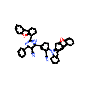 N#Cc1cc(-c2nc(-c3cccc4c3oc3ccccc34)nc(-c3ccccc3)c2C#N)ccc1-n1c2ccccc2c2cc3c(cc21)oc1ccccc13